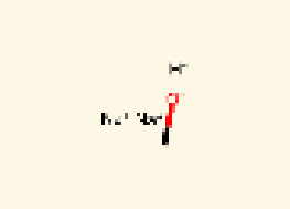 C[O-].[H-].[Na+].[Na+]